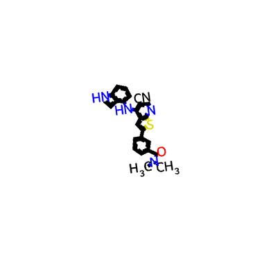 CN(C)C(=O)c1cccc(-c2cc3c(Nc4cccc5[nH]ccc45)c(C#N)cnc3s2)c1